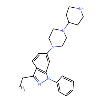 CCc1nn(-c2ccccc2)c2cc(N3CCN(C4CCNCC4)CC3)ccc12